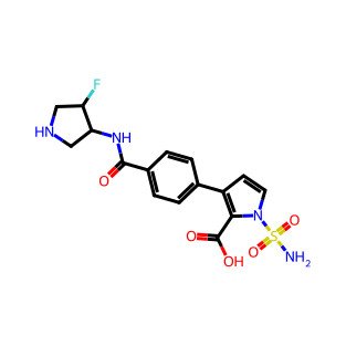 NS(=O)(=O)n1ccc(-c2ccc(C(=O)NC3CNCC3F)cc2)c1C(=O)O